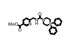 COC(=O)c1ccc(CNC(=O)N2CCS(c3ccccc3)(c3ccccc3)CC2)nc1